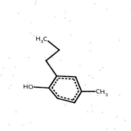 CCCc1cc(C)ccc1O